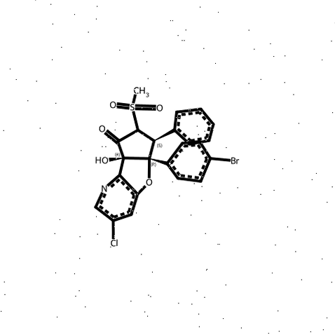 CS(=O)(=O)C1C(=O)[C@@]2(O)c3ncc(Cl)cc3O[C@@]2(c2ccc(Br)cc2)[C@@H]1c1ccccc1